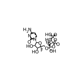 Nc1ccn([C@@H]2O[C@](F)(COP(=O)(O)OP(=O)(O)OP(=O)(O)O)[C@@H](O)[C@H]2O)c(=O)n1